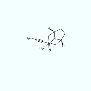 CC#CC(=O)N1[C@@H]2CC[C@H]1CN(C)C2